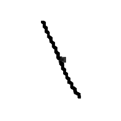 CCCCCCCCCCCCCC=CPC=CCCCCCCCCCCCCC